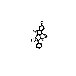 CN(C(=O)c1c(CO)c2ccc(Cl)cc2[nH]c1=O)c1ccccc1